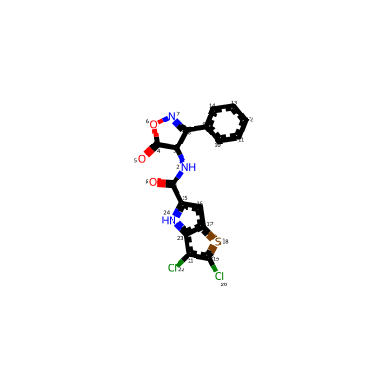 O=C(NC1C(=O)ON=C1c1ccccc1)c1cc2sc(Cl)c(Cl)c2[nH]1